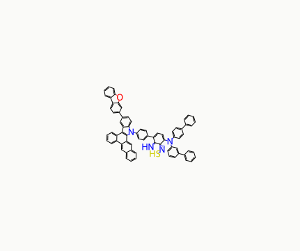 N=C1C(c2ccc(-n3c4ccc(-c5ccc6c(c5)oc5ccccc56)cc4c4c5ccccc5c5cc6ccccc6cc5c43)cc2)=CC=C(N(c2ccc(-c3ccccc3)cc2)c2cccc(-c3ccccc3)c2)/C1=N/S